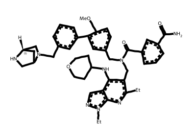 CCc1nc2c(cnn2CC)c(NC2CCOCC2)c1CN(Cc1ccc(OC)c(-c2cccc(CN3C[C@@H]4CC3CN4)c2)c1)C(=O)c1cccc(C(N)=O)c1